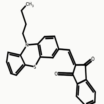 CCCCN1c2ccccc2Sc2cc(C=C3C(=O)c4ccccc4C3=O)ccc21